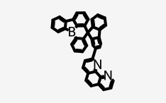 c1ccc2c(c1)B1c3ccccc3C3(c4ccccc4-c4ccc(-c5ccc6ccc7cccnc7c6n5)cc43)c3cccc-2c31